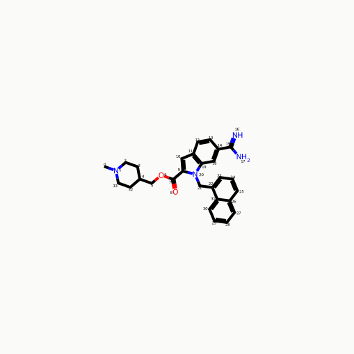 CN1CCC(COC(=O)c2cc3ccc(C(=N)N)cc3n2Cc2cccc3ccccc23)CC1